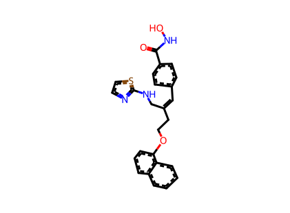 O=C(NO)c1ccc(/C=C(/CCOc2cccc3ccccc23)CNc2nccs2)cc1